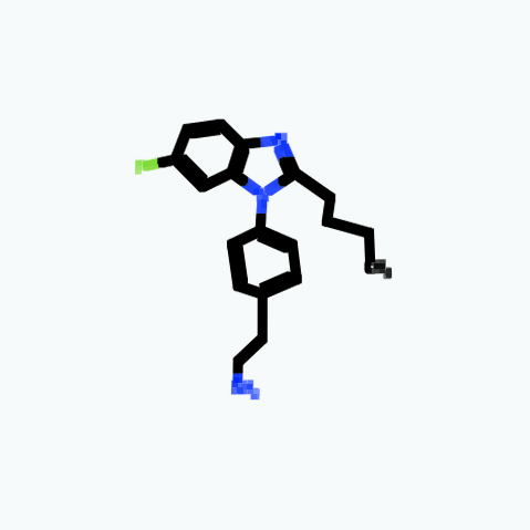 CCCCc1nc2ccc(F)cc2n1-c1ccc(CCN)cc1